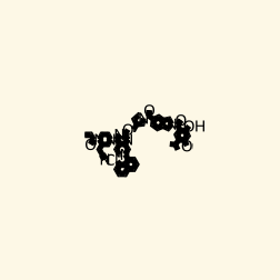 C=CC(=O)N1CCN(c2nc(OCC3CCN(C(=O)c4ccc5c(c4)CN(C(=O)c4cc(C(C)C)c(OC)cc4O)C5)C3)nc3c2CCN(c2cccc4cccc(Cl)c24)C3)CC1CC#N